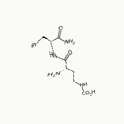 CC(C)C[C@H](NC(=O)[C@@H](N)CCNC(=O)O)C(N)=O